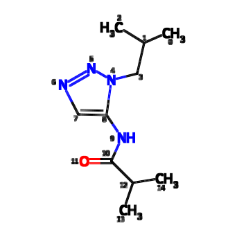 CC(C)Cn1nncc1NC(=O)C(C)C